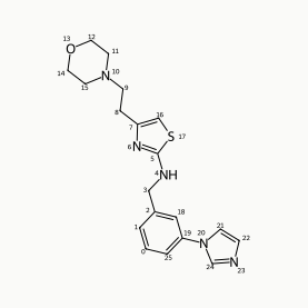 c1cc(CNc2nc(CCN3CCOCC3)cs2)cc(-n2ccnc2)c1